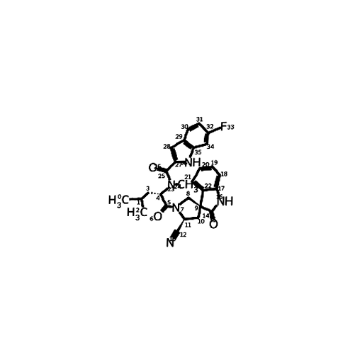 CC(C)C[C@@H](C(=O)N1C[C@]2(C[C@H]1C#N)C(=O)Nc1ccccc12)N(C)C(=O)c1cc2ccc(F)cc2[nH]1